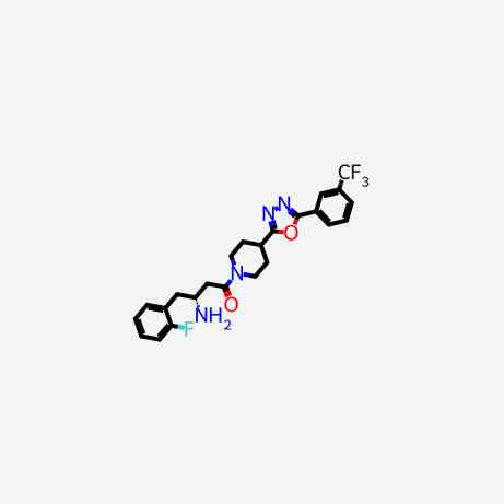 N[C@@H](CC(=O)N1CCC(c2nnc(-c3cccc(C(F)(F)F)c3)o2)CC1)Cc1ccccc1F